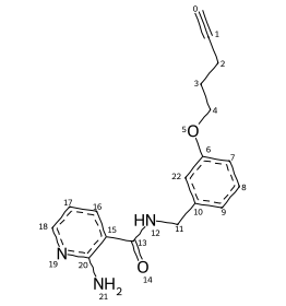 C#CCCCOc1cccc(CNC(=O)c2cccnc2N)c1